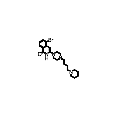 O=c1[nH]c(N2CCN(CCCCN3CCCCC3)CC2)cc2c(Br)cccc12